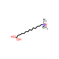 C[N+](C)([O-])CCCCCCCCCCCCCC(O)O